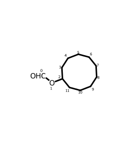 O=COC1CCCCCCCCC1